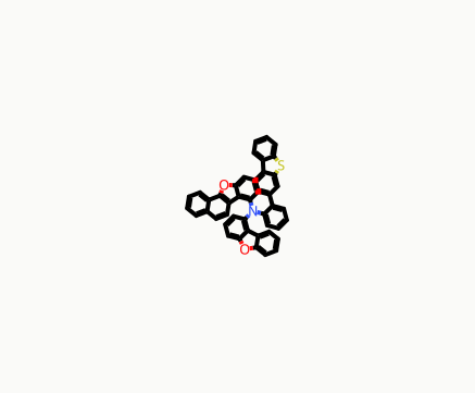 c1ccc(N(c2cccc3oc4ccccc4c23)c2cccc3oc4c5ccccc5ccc4c23)c(-c2ccc3c(c2)sc2ccccc23)c1